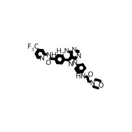 Nc1ncnc2c1c(-c1ccc(C(=O)Nc3cc(C(F)(F)F)ccn3)cc1)nn2C12CCC(NC(=O)CN3CCOCC3)(CC1)C2